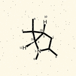 CC1C[C@@H]2[C@H](N1C)C2(C)C